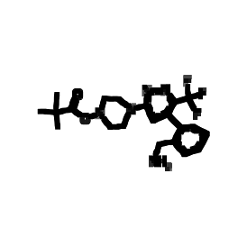 CC(C)(C)C(=O)ON1CCN(c2cc(-c3ccccc3CN)c(C(F)(F)F)nn2)CC1